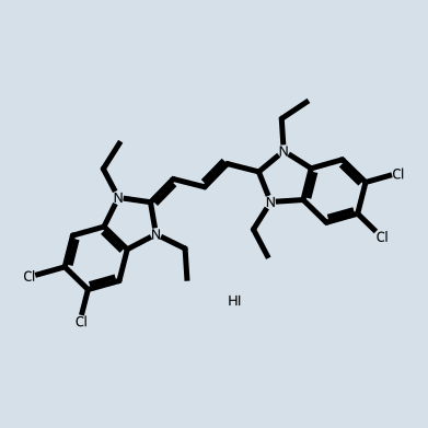 CCN1C(=C/C=C/C2N(CC)c3cc(Cl)c(Cl)cc3N2CC)N(CC)c2cc(Cl)c(Cl)cc21.I